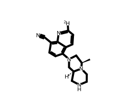 [2H]c1ccc2c(N3C[C@@H]4CNCCN4[C@H](C)C3)ccc(C#N)c2n1